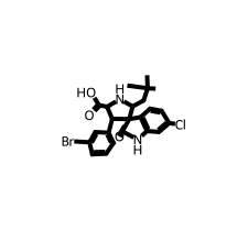 CC(C)(C)CC1NC(C(=O)O)C(c2cccc(Br)c2)C12C(=O)Nc1cc(Cl)ccc12